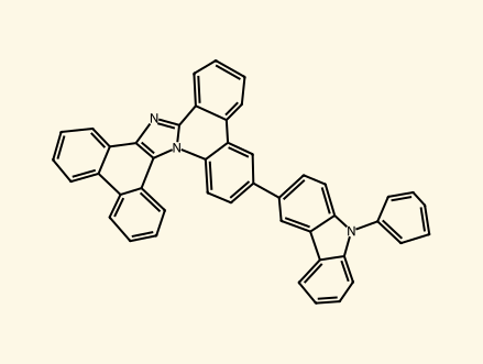 c1ccc(-n2c3ccccc3c3cc(-c4ccc5c(c4)c4ccccc4c4nc6c7ccccc7c7ccccc7c6n54)ccc32)cc1